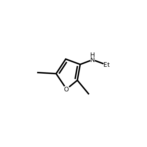 CCNc1cc(C)oc1C